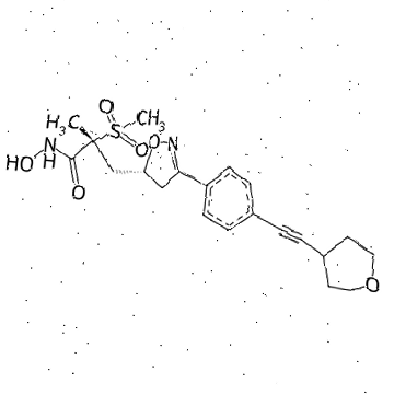 C[C@@](C[C@H]1CC(c2ccc(C#CC3CCOCC3)cc2)=NO1)(C(=O)NO)S(C)(=O)=O